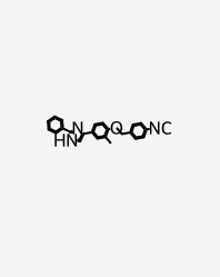 [C-]#[N+]c1ccc(COc2ccc(-c3c[nH]c(-c4ccccc4)n3)cc2C)cc1